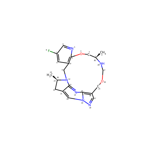 C[C@@H]1COc2ncc(F)cc2CN2c3nc4c(cnn4cc3C[C@H]2C)COCN1